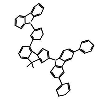 CC1(C)c2cc(-n3c4ccc(C5=CCCC=C5)cc4c4cc(-c5ccccc5)ccc43)ccc2-c2c(C3=CC(n4c5ccccc5c5ccccc54)=CCC3)cccc21